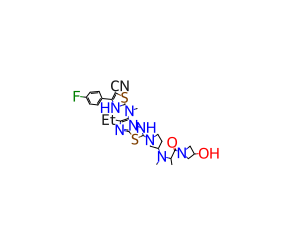 CCc1nc2n(c1N(C)C1NC(c3ccc(F)cc3)=C(C#N)S1)NC(N1CCC(N(C)C(C)C(=O)N3CC(O)C3)C1)S2